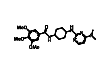 COc1cc(C(=O)NC2CCC(Nc3nccc(N(C)C)n3)CC2)cc(OC)c1OC